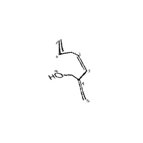 C=C/C=C\C(=C)O